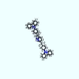 CC(C)(c1ccc(-n2c3ccccc3c3ccccc32)cc1)c1ccc(C(C)(C)c2ccc(-n3c4ccccc4c4ccccc43)cc2)nc1